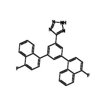 Fc1ccc(-c2cc(-c3nn[nH]n3)cc(-c3ccc(F)c4ccccc34)c2)c2ccccc12